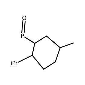 CC1CCC(C(C)C)C(P=O)C1